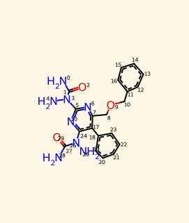 NC(=O)N(N)c1nc(COCc2ccccc2)c(-c2cc[c]cc2)c(N(N)C(N)=O)n1